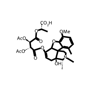 COc1ccc(C)c2c1OC1C(OC(=O)[C@H](OC(C)=O)[C@@H](OC(C)=O)C(=O)O[C@@H](C)C(=O)O)=CC[C@@]3(O)[C@@H](C)N(C)CCC213